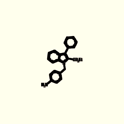 CCOC(=O)c1c(-c2ccccc2)c2ccccc2n1Cc1ccc(N)cc1